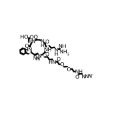 [N-]=[N+]=NCC(=O)NCCOCCOCC(=O)NCCCC[C@H]1C(=O)N[C@@H](CCCNC(=N)N)C(=O)NCC(=O)N[C@@H](CC(=O)O)C(=O)N[C@@H](Cc2ccccc2)c2cn1nn2